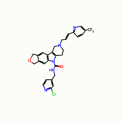 O=C(NCc1ccnc(Cl)c1)n1c2c(c3cc4c(cc31)COC4)CN(C/C=C/c1ccc(C(F)(F)F)cn1)CC2